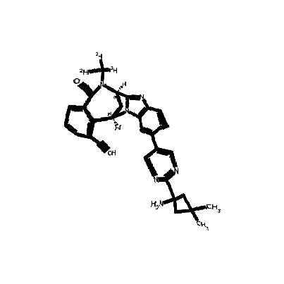 [2H]C([2H])([2H])N1C(=O)c2cccc(C#C)c2[C@H]2C[C@@H]1c1nc3ccc(-c4cnc(C5(N)CC(C)(C)C5)nc4)cc3n12